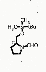 CC(C)(C)[Si](C)(C)OC[C@@H]1CCCN1C=O